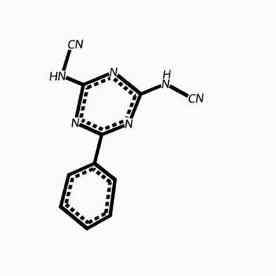 N#CNc1nc(NC#N)nc(-c2ccccc2)n1